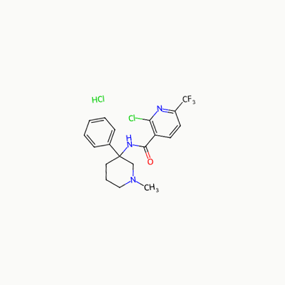 CN1CCCC(NC(=O)c2ccc(C(F)(F)F)nc2Cl)(c2ccccc2)C1.Cl